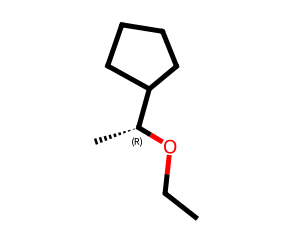 CCO[C@H](C)C1CCCC1